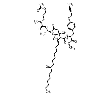 CC#CCOc1ccc(C[C@H](NC(=O)[C@@H](/C=C/CCCCCCC(=O)CCCCCCC)C(O)(CC(=O)O[C@H](C)OC(=O)N(C)CCCOC(C)=O)C(=O)O)C(=O)OC)cc1